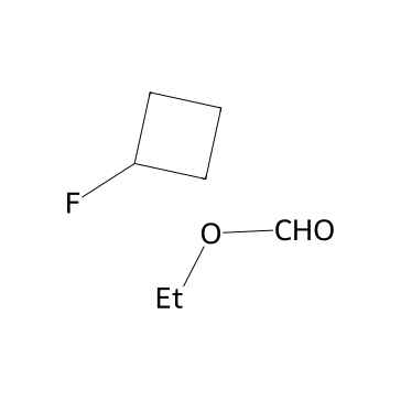 CCOC=O.FC1CCC1